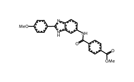 COC(=O)c1ccc(C(=O)Nc2ccc3nc(-c4ccc(OC)cc4)[nH]c3c2)cc1